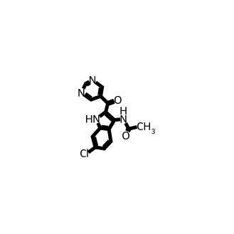 CC(=O)Nc1c(C(=O)c2cncnc2)[nH]c2cc(Cl)ccc12